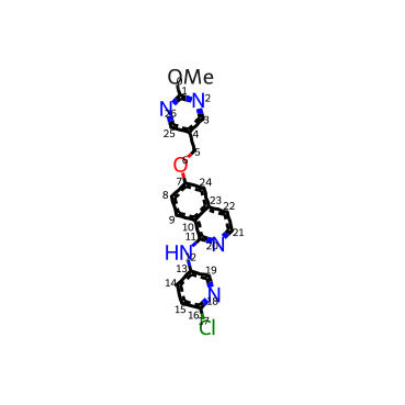 COc1ncc(COc2ccc3c(Nc4ccc(Cl)nc4)nccc3c2)cn1